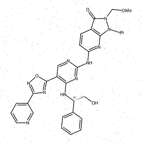 COCn1c(=O)c2ccc(Nc3ncc(-c4nc(-c5cccnc5)no4)c(N[C@H](CO)c4ccccc4)n3)nc2n1C(C)C